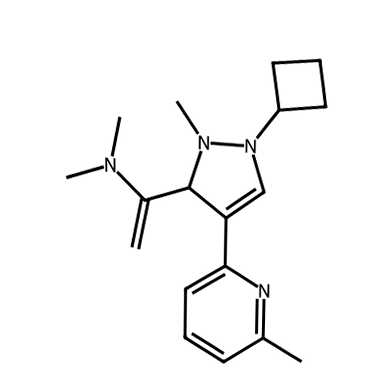 C=C(C1C(c2cccc(C)n2)=CN(C2CCC2)N1C)N(C)C